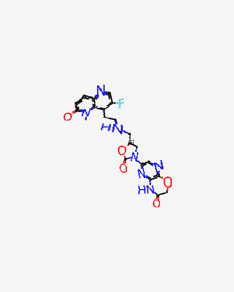 Cn1c(=O)ccc2ncc(F)c(CCNC[C@H]3CN(c4cnc5c(n4)NC(=O)CO5)C(=O)O3)c21